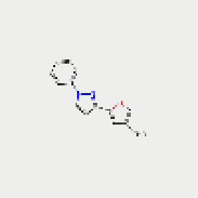 O=Cc1coc(-c2ccn(-c3ccccc3)n2)c1